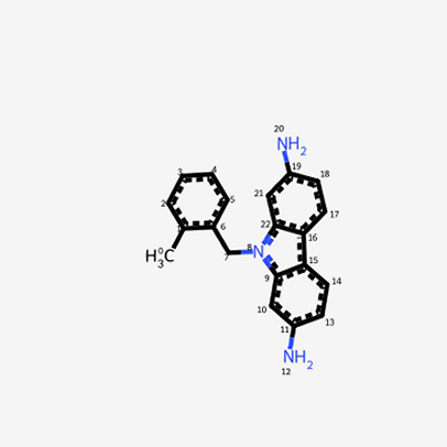 Cc1ccccc1Cn1c2cc(N)ccc2c2ccc(N)cc21